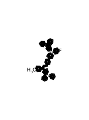 Cc1ccc(C(CCc2ccc(-c3ccc(N(c4ccc(F)cc4)c4ccc5c(c4)c4ccccc4n5-c4ccccc4)cc3)cc2)c2ccc3c(c2)c2ccccc2n3-c2ccccc2)cc1